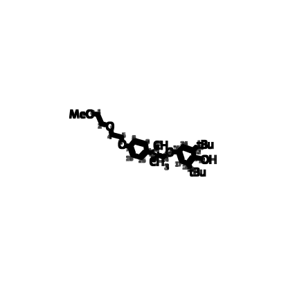 COCCOCCOc1ccc([Si](C)(C)COc2cc(C(C)(C)C)c(O)c(C(C)(C)C)c2)cc1